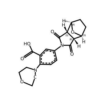 O=C(O)c1cc(N2C(=O)[C@@H]3[C@H](C2=O)[C@H]2CC[C@@H]3O2)ccc1N1CCOCC1